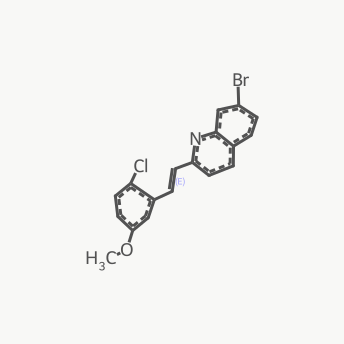 COc1ccc(Cl)c(/C=C/c2ccc3ccc(Br)cc3n2)c1